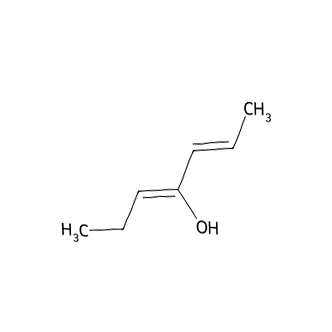 CC=CC(O)=CCC